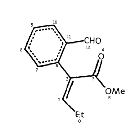 CCC=C(C(=O)OC)c1ccccc1C=O